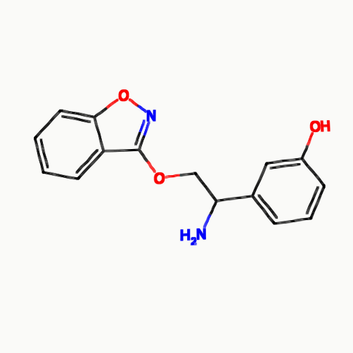 NC(COc1noc2ccccc12)c1cccc(O)c1